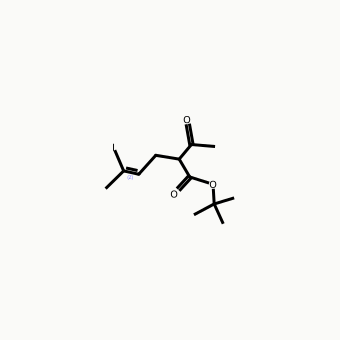 CC(=O)C(C/C=C(/C)I)C(=O)OC(C)(C)C